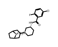 CCOC(=O)N1C2CCC1CC(N1CCC[C@@H](NC(=O)c3cc(Cl)ccc3F)C1)C2